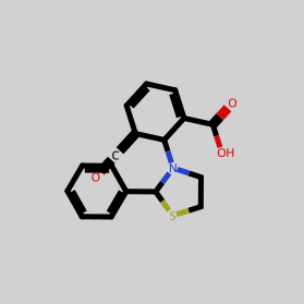 O=C=C1C=CC=C(C(=O)O)C1N1CCSC1c1ccccc1